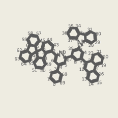 c1ccc(-c2cc(-c3cc(-c4cc5ccccc5c5ccccc45)cc(-n4c5ccccc5c5ccccc54)c3)nc(-c3cccc4c3-c3ccccc3C43c4ccccc4-c4ccccc43)c2)cc1